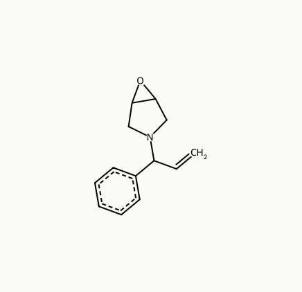 C=CC(c1ccccc1)N1CC2OC2C1